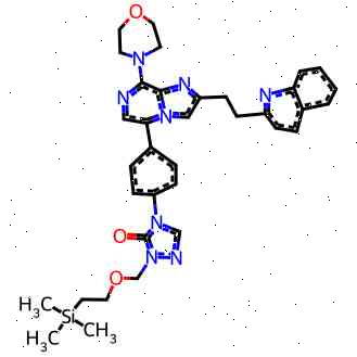 C[Si](C)(C)CCOCn1ncn(-c2ccc(-c3cnc(N4CCOCC4)c4nc(CCc5ccc6ccccc6n5)cn34)cc2)c1=O